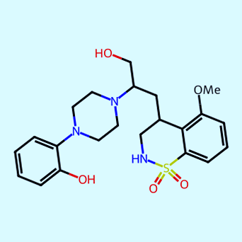 COc1cccc2c1C(CC(CO)N1CCN(c3ccccc3O)CC1)CNS2(=O)=O